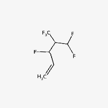 C=CC(F)C(C(F)F)C(F)(F)F